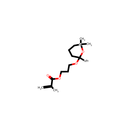 C=C(C)C(=O)OCCCOC1(CCC)CCC[Si](C)(C)O1